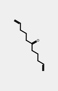 C=CCCCC(=O)CCCC=C